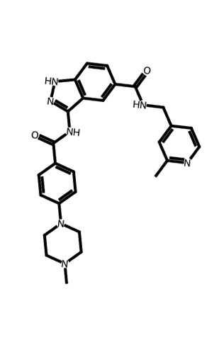 Cc1cc(CNC(=O)c2ccc3[nH]nc(NC(=O)c4ccc(N5CCN(C)CC5)cc4)c3c2)ccn1